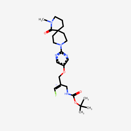 CN1CCCC2(CCN(c3ncc(OC/C(=C/F)CNC(=O)OC(C)(C)C)cn3)CC2)C1=O